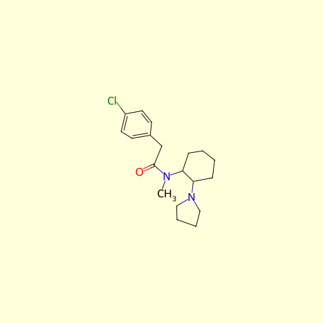 CN(C(=O)Cc1ccc(Cl)cc1)C1CCCCC1N1CCCC1